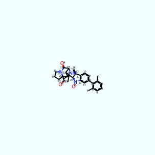 Cc1cccc(C)c1-c1ccc2c(c1)[N+]([O-])=C1C2=C[C@]23NC(C2C1(C)C)C1(C=O)CCCN1C3=O